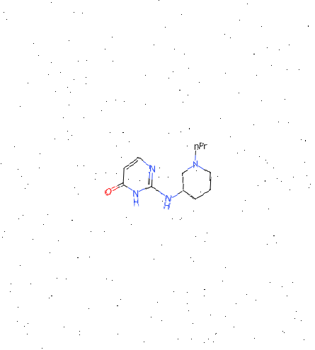 CCCN1CCCC(Nc2nccc(=O)[nH]2)C1